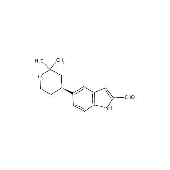 CC1(C)C[C@@H](c2ccc3[nH]c(C=O)cc3c2)CCO1